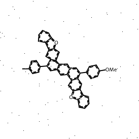 COc1ccc(-c2cc3cc4c(cc(-c5ccc(C)cc5)c5cc6c(cc54)oc4ccccc46)cc3c3cc4oc5ccccc5c4cc23)cc1